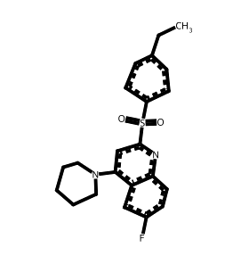 CCc1ccc(S(=O)(=O)c2cc(N3CCCCC3)c3cc(F)ccc3n2)cc1